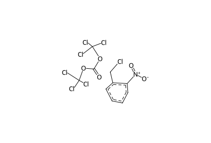 O=C(OC(Cl)(Cl)Cl)OC(Cl)(Cl)Cl.O=[N+]([O-])c1ccccc1CCl